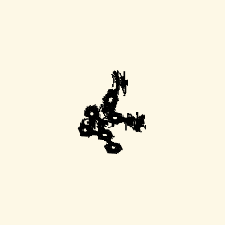 Cc1nc(C)nc(-c2ccc3c(c2)c2cc(-c4nc(C)nc(C)n4)ccc2n3-c2cccc3c2C(=O)N(c2ccc(-c4ccccc4)cc2-c2ccccc2)C3=O)n1